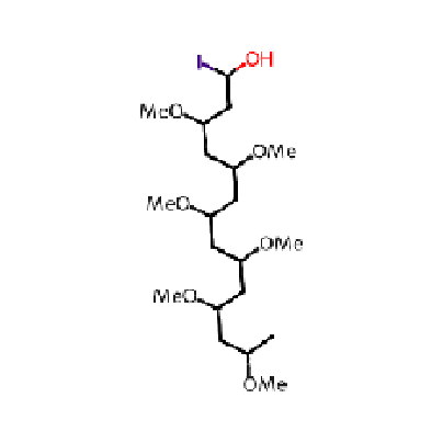 COC(C)CC(CC(CC(CC(CC(CC(O)I)OC)OC)OC)OC)OC